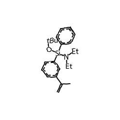 C=C(C)c1cccc([Si](OC(C)(C)C)(c2ccccc2)N(CC)CC)c1